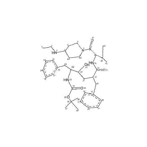 CCNC1CCN(C(=O)C(NC(=O)C(Cc2ccccc2)CC(O)C(Cc2ccccc2)NC(=O)OC(C)(C)C)C(C)C)CC1